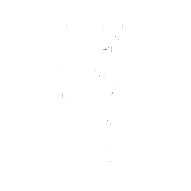 CC[C@H](C)[C@@H](N=[N+]=[N-])C(=O)N[C@H](C[C@@H](C)c1nc(C(=O)OC)cs1)C(C)C